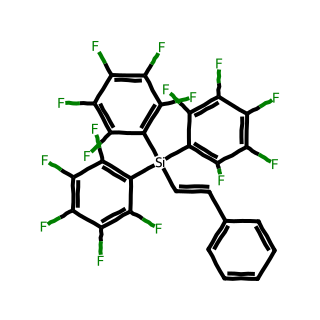 Fc1c(F)c(F)c([Si](C=Cc2ccccc2)(c2c(F)c(F)c(F)c(F)c2F)c2c(F)c(F)c(F)c(F)c2F)c(F)c1F